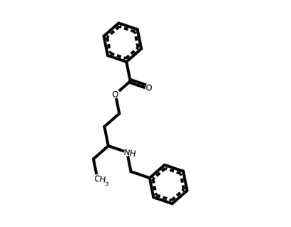 CCC(CCOC(=O)c1ccccc1)NCc1ccccc1